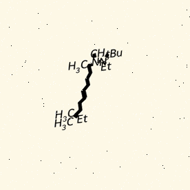 CCN(N(C)C(C)CCCC=CCCC(C)(C)CC)C(C)(C)C